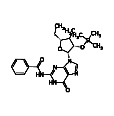 CC[C@H]1O[C@@H](n2cnc3c(=O)[nH]c(NC(=O)c4ccccc4)nc32)[C@@H](O[Si](C)(C)C)C1C